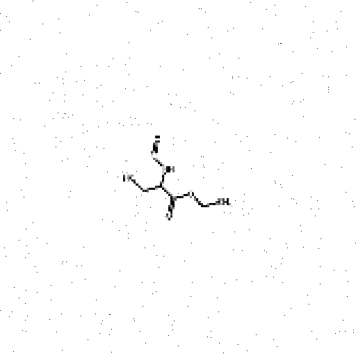 CCOC(=O)C(CS)NN=O